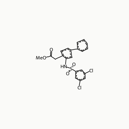 COC(=O)Cc1ccc(-c2ccccc2)cc1NS(=O)(=O)c1cc(Cl)cc(Cl)c1